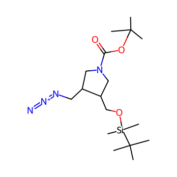 CC(C)(C)OC(=O)N1CC(CN=[N+]=[N-])C(CO[Si](C)(C)C(C)(C)C)C1